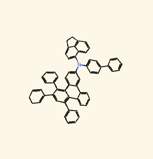 C1=CC(c2cc(-c3ccccc3)c3c4ccccc4c4cc(N(c5ccc(-c6ccccc6)cc5)c5ccc6c7c(cccc57)CC6)ccc4c3c2-c2ccccc2)=CCC1